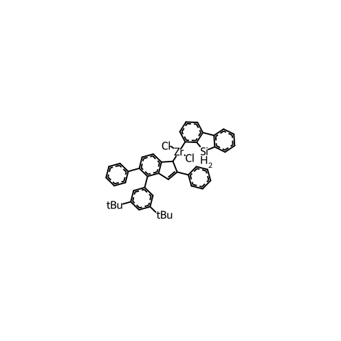 CC(C)(C)c1cc(-c2c(-c3ccccc3)ccc3c2C=C(c2ccccc2)[CH]3[Zr]([Cl])([Cl])[c]2cccc3c2[SiH2]c2ccccc2-3)cc(C(C)(C)C)c1